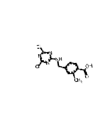 Cc1cc(CNc2nc(Cl)nc(Cl)n2)ccc1C(=O)O